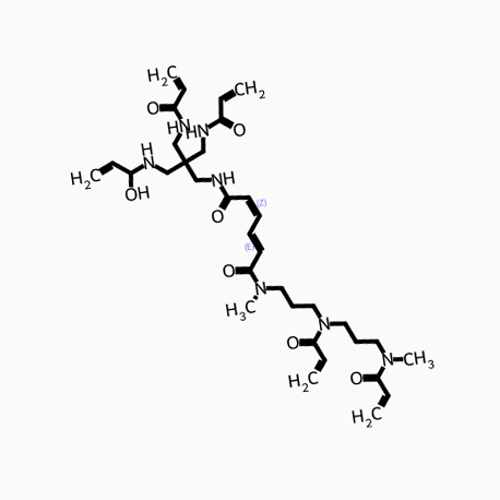 C=CC(=O)NCC(CNC(=O)C=C)(CNC(=O)/C=C\C=C\C(=O)N(C)CCCN(CCCN(C)C(=O)C=C)C(=O)C=C)CNC(O)C=C